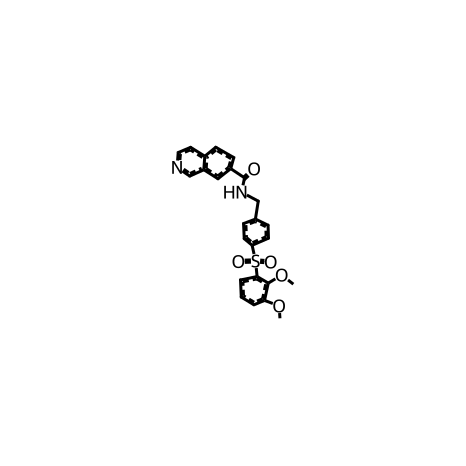 COc1cccc(S(=O)(=O)c2ccc(CNC(=O)c3ccc4ccncc4c3)cc2)c1OC